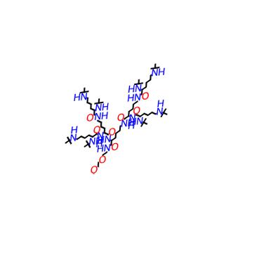 COCCOCCNC(=O)C(CCCCNC(=O)C(CCCCNC(=O)C(CCCCNC(C)(C)C)NC(C)(C)C)NC(=O)C(CCCCNC(C)(C)C)NC(C)(C)C)NC(=O)C(CCCCNC(=O)C(CCCCNC(C)(C)C)NC(C)(C)C)NC(=O)C(CCCCNC(C)(C)C)NC(C)(C)C